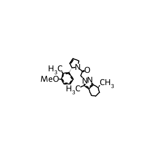 COc1cccc([C@@H]2C=CCN2C(=O)Cn2nc3c(c2C)CCC[C@@H]3C)c1C